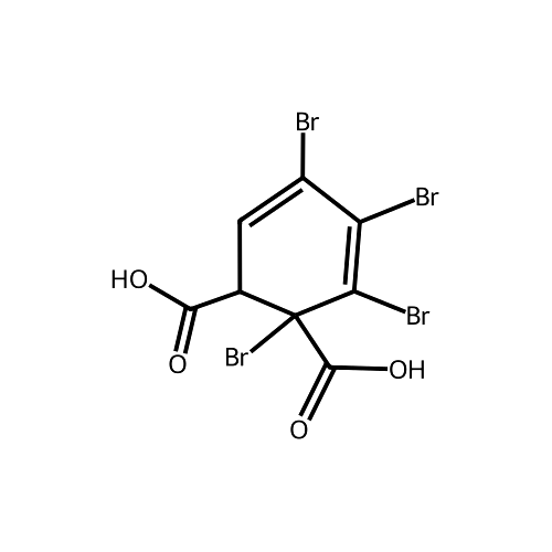 O=C(O)C1C=C(Br)C(Br)=C(Br)C1(Br)C(=O)O